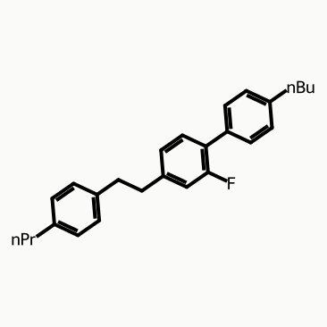 CCCCc1ccc(-c2ccc(CCc3ccc(CCC)cc3)cc2F)cc1